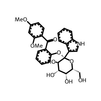 COc1ccc(C(=O)c2ccccc2O[C@]2(c3c[nH]c4ccccc34)O[C@H](CO)[C@H](O)[C@H](O)[C@H]2O)c(OC)c1